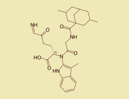 Cc1c(N(C(=O)CNC(=O)C23CC(C)CC(CC(C)C2)C3)[C@@H](CCC(=O)C=N)C(=O)O)[nH]c2ccccc12